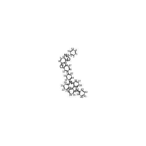 c1ccc(-c2nc3ccc4oc5cc(-c6ccc(N(c7ccccc7)c7cccc8c7c7ccccc7n8-c7ccccc7)cc6)ccc5c4c3o2)cc1